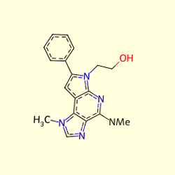 CNc1nc2c(cc(-c3ccccc3)n2CCO)c2c1ncn2C